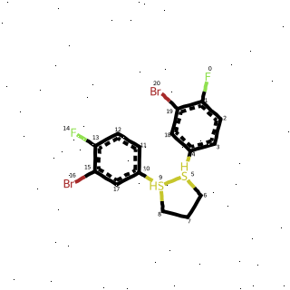 Fc1ccc([SH]2CCC[SH]2c2ccc(F)c(Br)c2)cc1Br